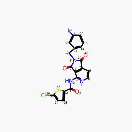 O=C(Nc1nccc2c1C(=O)N(Cc1cccc(I)c1)C2=O)c1ccc(Cl)s1